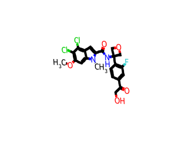 COc1cc2c(cc(C(=O)NC3(c4ccc(C(=O)CO)cc4F)COC3)n2C)c(Cl)c1Cl